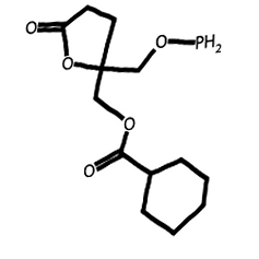 O=C1CCC(COP)(COC(=O)C2CCCCC2)O1